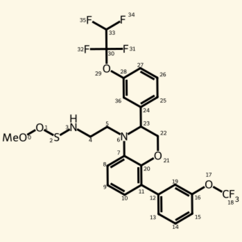 COOSNCCN1c2cccc(-c3cccc(OC(F)(F)F)c3)c2OCC1c1cccc(OC(F)(F)C(F)F)c1